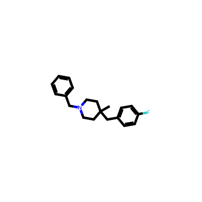 CC1(Cc2ccc(F)cc2)CCN(Cc2ccccc2)CC1